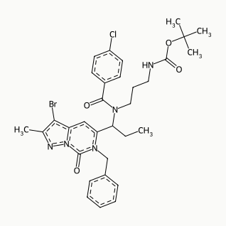 CCC(c1cc2c(Br)c(C)nn2c(=O)n1Cc1ccccc1)N(CCCNC(=O)OC(C)(C)C)C(=O)c1ccc(Cl)cc1